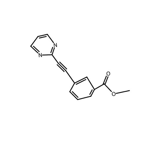 COC(=O)c1cccc(C#Cc2ncccn2)c1